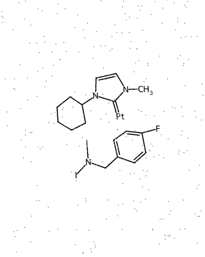 Cn1ccn(C2CCCCC2)[c]1=[Pt].Fc1ccc(CN(I)I)cc1